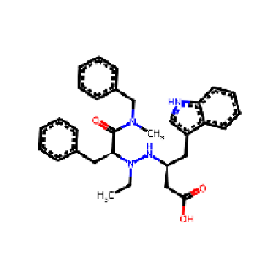 CCN(N[C@H](CC(=O)O)Cc1c[nH]c2ccccc12)[C@@H](Cc1ccccc1)C(=O)N(C)Cc1ccccc1